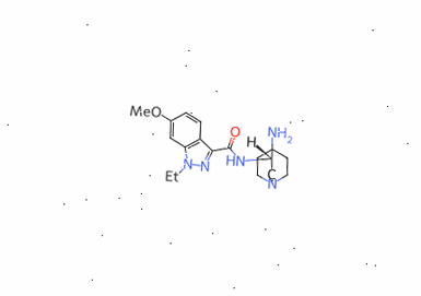 CCn1nc(C(=O)N[C@H]2CN3CCC2(N)CC3)c2ccc(OC)cc21